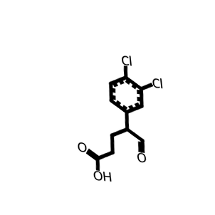 O=CC(CCC(=O)O)c1ccc(Cl)c(Cl)c1